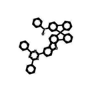 [O-][S+](c1ccccc1)c1ccc2c(c1)C1(c3ccccc3-2)c2ccccc2-c2c1ccc1c2oc2ccc(-c3nc(-c4ccccc4)nc(-c4ccccc4)n3)cc21